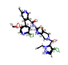 CCn1ncc(Cl)c1C(=O)N1Cc2nc(NC(=O)c3cnc(C)cc3-c3cc(Cl)ncc3OC)sc2C1